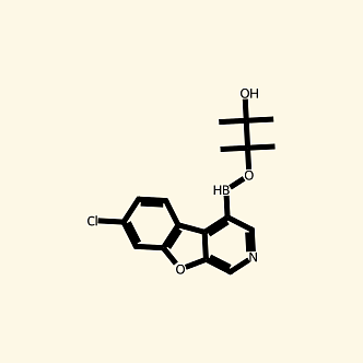 CC(C)(O)C(C)(C)OBc1cncc2oc3cc(Cl)ccc3c12